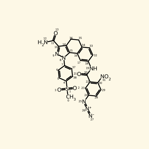 CS(=O)(=O)c1ccc(-n2nc(C(N)=O)c3c2-c2cc(NC(=O)c4cc(N=[N+]=[N-])ccc4[N+](=O)[O-])ccc2CC3)cc1